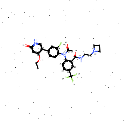 CCOc1cc(=O)[nH]cc1-c1ccc(N(C(C)=O)c2ccc(C(F)(F)F)cc2C(=O)NCCN2CCC2)c(F)c1